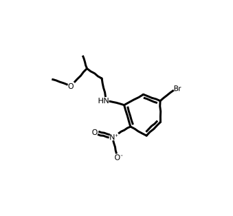 COC(C)CNc1cc(Br)ccc1[N+](=O)[O-]